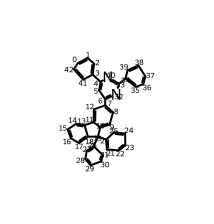 c1ccc(-c2cc(-c3ccc4c(c3)-c3ccccc3C4(c3ccccc3)c3ccccc3)nc(-c3ccccc3)n2)cc1